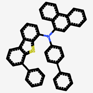 c1ccc(-c2ccc(N(c3cc4ccccc4c4ccccc34)c3cccc4c3sc3c(-c5ccccc5)cccc34)cc2)cc1